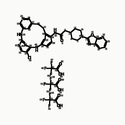 O=C(CC1CCN(c2nc3cccnc3o2)CC1)Nc1ccc2cc1CCc1cncc(c1)Nc1ncc(Cl)c(n1)N2.O=C(O)C(F)(F)F.O=C(O)C(F)(F)F.O=C(O)C(F)(F)F